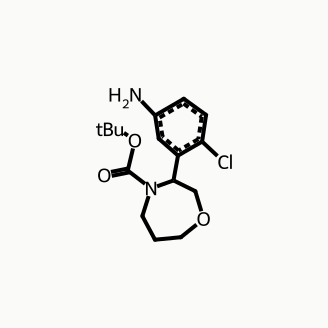 CC(C)(C)OC(=O)N1CCCOCC1c1cc(N)ccc1Cl